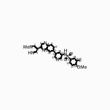 CN/C=C(\C=N)c1cnc2ccc(-c3cncc(NS(=O)(=O)c4ccc(OC)c(F)c4)c3)cc2n1